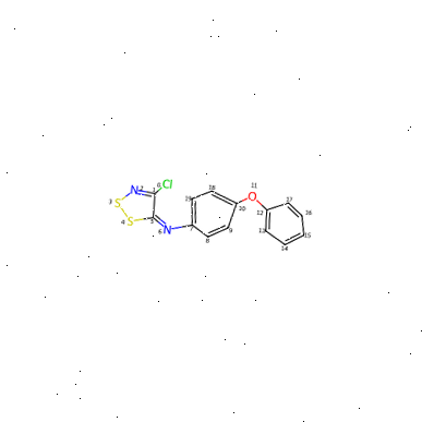 Clc1nssc1=Nc1ccc(Oc2ccccc2)cc1